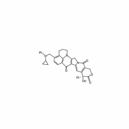 CC[C@@]1(O)C(=O)OCc2c1cc1n(c2=O)Cc2c-1c(=O)c1ccc(CN(C(C)C)C3CC3)c3c1n2CCC3